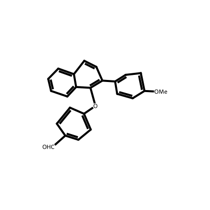 COc1ccc(-c2ccc3ccccc3c2Oc2ccc(C=O)cc2)cc1